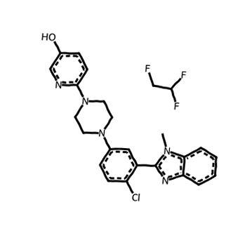 Cn1c(-c2cc(N3CCN(c4ccc(O)cn4)CC3)ccc2Cl)nc2ccccc21.FCC(F)F